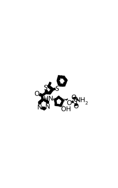 Cc1sc(C(=O)c2cncnc2N[C@@H]2C[C@H](COS(N)(=O)=O)[C@@H](O)C2)cc1Sc1ccccc1